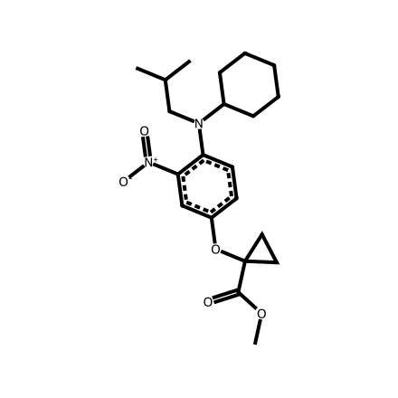 COC(=O)C1(Oc2ccc(N(CC(C)C)C3CCCCC3)c([N+](=O)[O-])c2)CC1